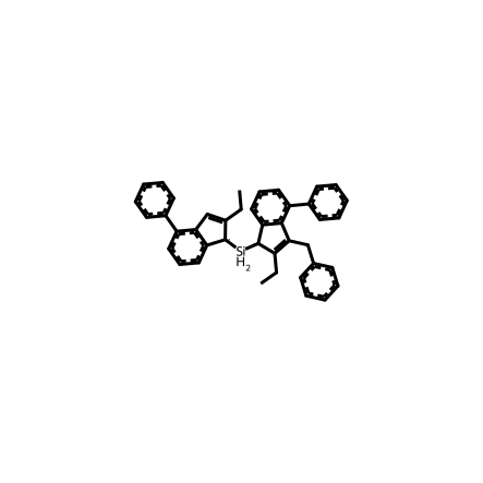 CCC1=Cc2c(cccc2-c2ccccc2)[C]1[SiH2][C]1C(CC)=C(Cc2ccccc2)c2c1cccc2-c1ccccc1